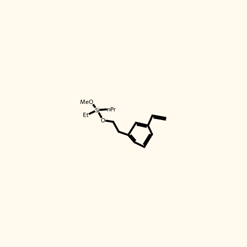 C=Cc1cccc(CCO[Si](CC)(CCC)OC)c1